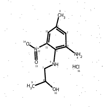 Cc1cc(N)c(NCC(C)O)c([N+](=O)[O-])c1.Cl